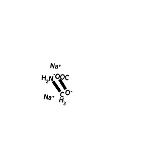 CN.O=C([O-])[O-].[Na+].[Na+]